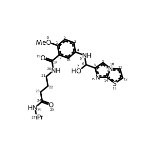 COc1ccc(NC(O)c2cn3ccsc3n2)cc1C(=O)NCCCC(=O)NC(C)C